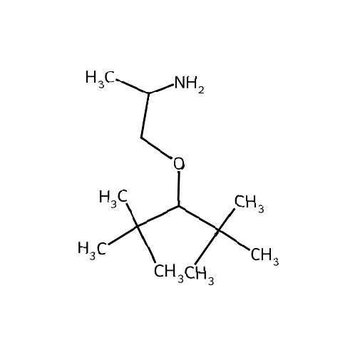 CC(N)COC(C(C)(C)C)C(C)(C)C